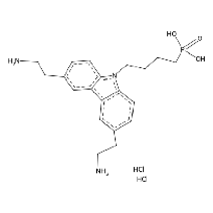 Cl.Cl.NCCc1ccc2c(c1)c1cc(CCN)ccc1n2CCCCP(=O)(O)O